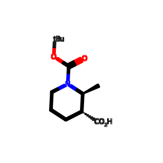 C[C@H]1[C@H](C(=O)O)CCCN1C(=O)OC(C)(C)C